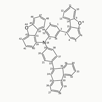 c1cc(-c2cccc3oc4ccccc4c23)cc(N(c2ccc(-c3cc4ccccc4c4ccccc34)cc2)c2cccc3oc4ccccc4c23)c1